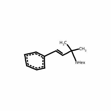 CCCCCCC(C)(C)C=Cc1ccccc1